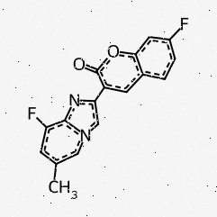 Cc1cc(F)c2nc(-c3cc4ccc(F)cc4oc3=O)cn2c1